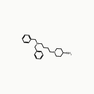 NC1CCN(CCCCN(Cc2ccccc2)Cc2ccccc2)CC1